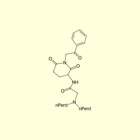 CCCCCN(CCCCC)CC(=O)NC1CCC(=O)N(CC(=O)c2ccccc2)C1=O